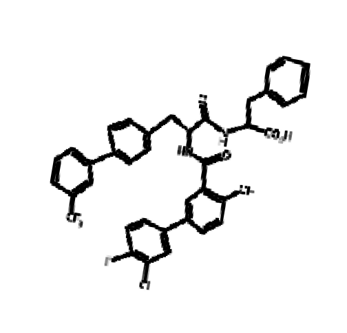 O=C(N[C@@H](Cc1ccc(-c2cccc(C(F)(F)F)c2)cc1)C(=O)NC(Cc1ccccc1)C(=O)O)c1cc(-c2ccc(F)c(Cl)c2)ccc1O